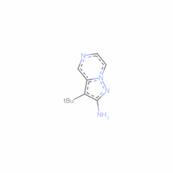 CC(C)(C)c1c(N)nn2ccncc12